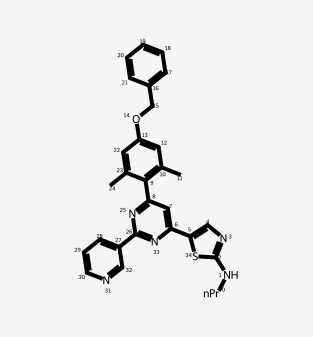 CCCNc1ncc(-c2cc(-c3c(C)cc(OCc4ccccc4)cc3C)nc(-c3cccnc3)n2)s1